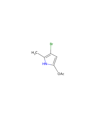 CC(=O)Oc1cc(Br)c(C)[nH]1